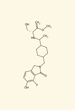 C=C(OC)[C@@H](CO)NC(C)C1CCC(CN2Cc3ccc(O)c(F)c3C2=O)CC1